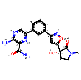 CN1CC[C@@](O)(c2cc(-c3cccc(-c4cnc(N)c(C(N)=O)n4)c3)no2)C1=O